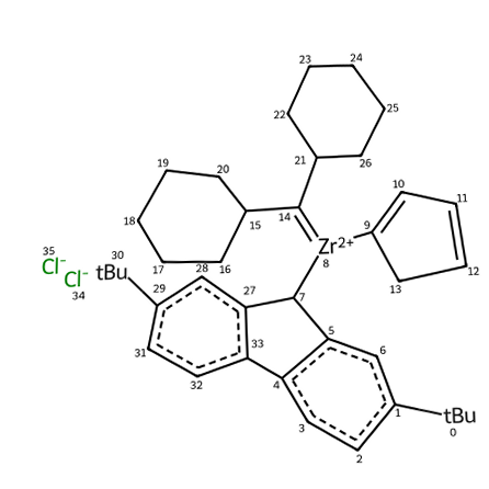 CC(C)(C)c1ccc2c(c1)[CH]([Zr+2]([C]1=CC=CC1)=[C](C1CCCCC1)C1CCCCC1)c1cc(C(C)(C)C)ccc1-2.[Cl-].[Cl-]